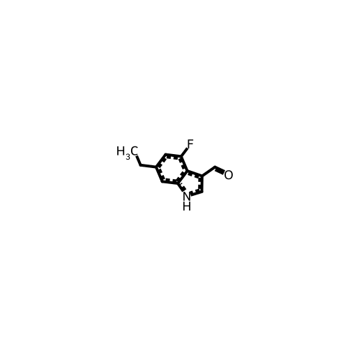 CCc1cc(F)c2c(C=O)c[nH]c2c1